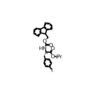 CC(C)OC(=O)[C@H](Cc1ccc(I)cc1)NC(=O)OCC1c2ccccc2-c2ccccc21